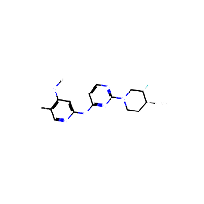 CO[C@H]1CCN(c2nccc(Nc3cc(NC(C)C)c(C=O)cn3)n2)C[C@H]1F